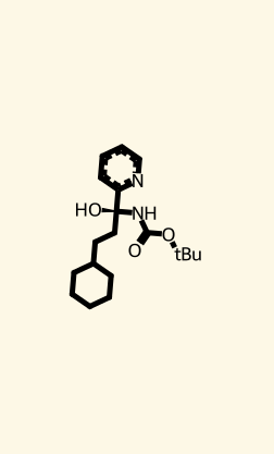 CC(C)(C)OC(=O)N[C@](O)(CCC1CCCCC1)c1ccccn1